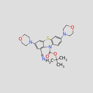 CC(C)(C)OC(=O)N1c2ccc(N3CCOCC3)cc2Sc2cc(N3CCOCC3)cc(C#N)c21